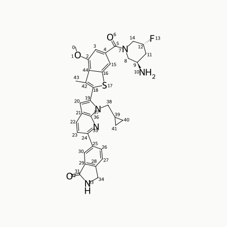 COc1cc(C(=O)N2C[C@H](N)C[C@@H](F)C2)cc2sc(-c3cc4ccc(-c5ccc6c(c5)C(=O)NC6)nc4n3CC3CC3)c(C)c12